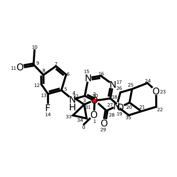 COc1c(Nc2ccc(C(C)=O)cc2F)ncnc1OC1C2COCC1CN(C(=O)OC1(C)CC1)C2